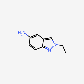 CCn1cc2cc(N)ccc2n1